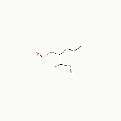 CCCC(CC=O)C(C)CC